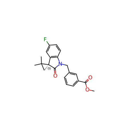 COC(=O)c1cccc(CN2C(=O)[C@]3(CC3(C)C)c3cc(F)ccc32)c1